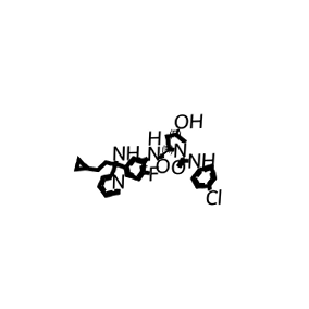 NC(CCC1CC1)(c1ccc(F)c(NC(=O)[C@H]2C[C@@H](O)CN2C(=O)Nc2ccc(Cl)cc2)c1)c1ccccn1